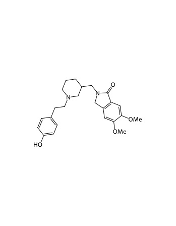 COc1cc2c(cc1OC)C(=O)N(CC1CCCN(CCc3ccc(O)cc3)C1)C2